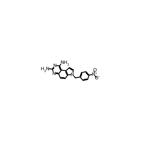 Nc1nc(N)c2c(ccc3c2ccn3Cc2ccc([N+](=O)[O-])cc2)n1